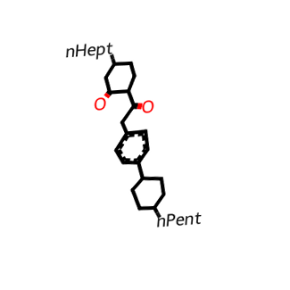 CCCCCCCC1CCC(C(=O)Cc2ccc(C3CCC(CCCCC)CC3)cc2)C(=O)C1